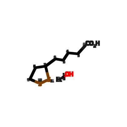 CCO.O=C(O)CCCCC1CCSS1